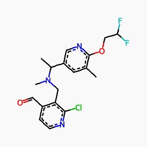 Cc1cc(C(C)N(C)Cc2c(C=O)ccnc2Cl)cnc1OCC(F)F